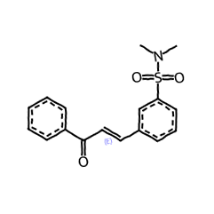 CN(C)S(=O)(=O)c1cccc(/C=C/C(=O)c2ccccc2)c1